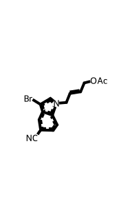 CC(=O)OCC=CCn1cc(Br)c2cc(C#N)ccc21